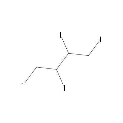 [CH2]CC(I)C(I)CI